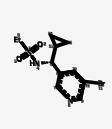 CCS(=O)(=O)N[C@@H](c1cncc(Br)c1)C1CC1